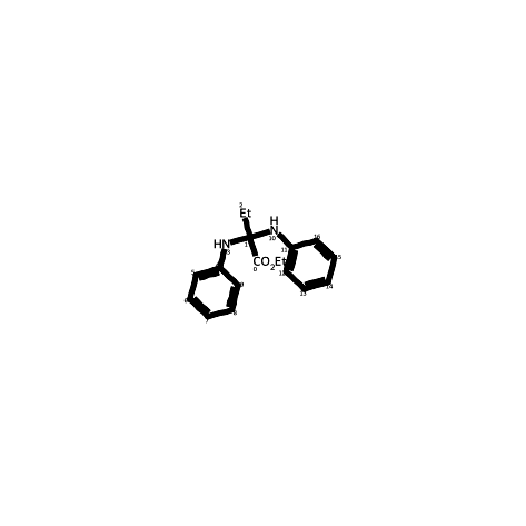 CCOC(=O)C(CC)(Nc1ccccc1)Nc1ccccc1